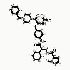 CCC(=O)N[C@H](Cc1ccc(NC(=O)C(CNC(=O)c2ccnn2C)C2CCCCC2)cc1)C(=O)N1CCN(Cc2cccnc2)CC1